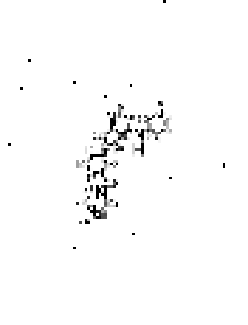 Cc1cccc(Nc2ccnc3cc(-c4cccc(CN5CCN(C)CC5)c4)sc23)c1